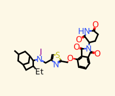 CCC1CC2CC(C)CC(C2)C1N(I)Cc1csc(COc2cccc3c2C(=O)N(C2CCC(=O)NC2=O)C3=O)n1